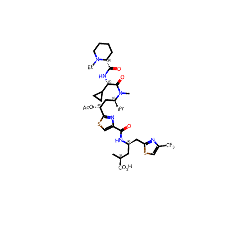 CCN1CCCC[C@@H]1C(=O)N[C@H](C(=O)N(C)[C@H](C[C@@H](OC(C)=O)c1nc(C(=O)N[C@@H](Cc2nc(C(F)(F)F)cs2)C[C@H](C)C(=O)O)cs1)C(C)C)C1CC1